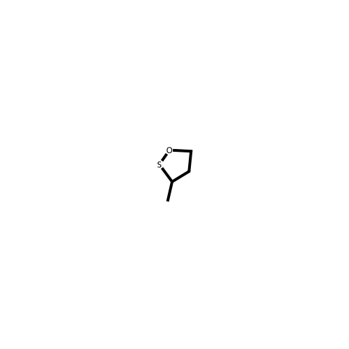 CC1CCOS1